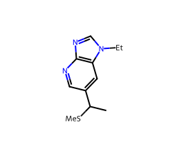 CCn1cnc2ncc(C(C)SC)cc21